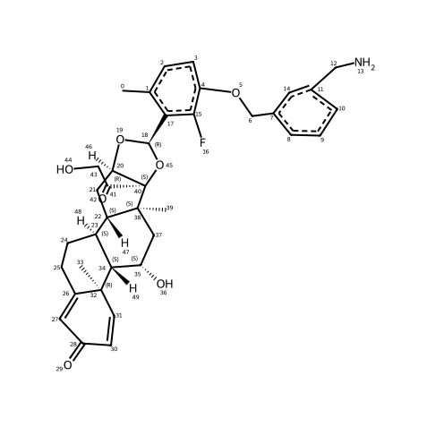 Cc1ccc(OCc2cccc(CN)c2)c(F)c1[C@@H]1O[C@@H]2C[C@H]3[C@@H]4CCC5=CC(=O)C=C[C@]5(C)[C@H]4[C@@H](O)C[C@]3(C)[C@]2(C(=O)CO)O1